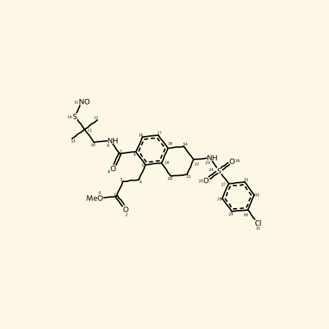 COC(=O)CCc1c(C(=O)NCC(C)(C)SN=O)ccc2c1CCC(NS(=O)(=O)c1ccc(Cl)cc1)C2